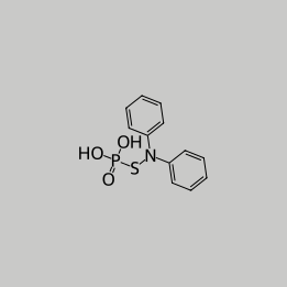 O=P(O)(O)SN(c1ccccc1)c1ccccc1